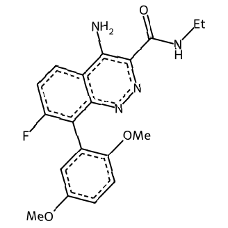 CCNC(=O)c1nnc2c(-c3cc(OC)ccc3OC)c(F)ccc2c1N